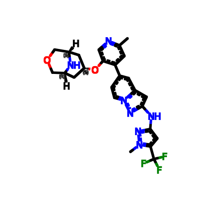 Cc1cc(-c2ccn3nc(Nc4cc(C(F)(F)F)n(C)n4)cc3c2)c(O[C@H]2C[C@H]3COC[C@@H](C2)N3)cn1